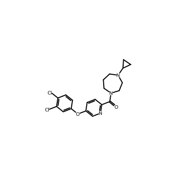 O=C(c1ccc(Oc2ccc(Cl)c(Cl)c2)cn1)N1CCCN(C2CC2)CC1